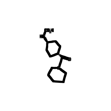 O=C(O)N[C@H]1CC[C@H](C(=O)N2CCCCC2)CC1